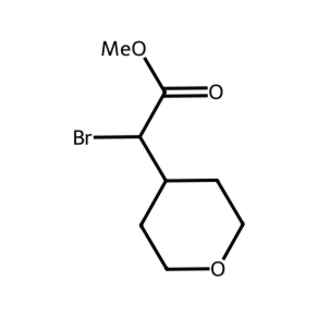 COC(=O)C(Br)C1CCOCC1